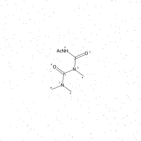 CC(=O)NC(=O)N(C)C(=O)N(C)C